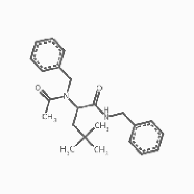 CC(=O)N(Cc1ccccc1)C(CC(C)(C)C)C(=O)NCc1ccccc1